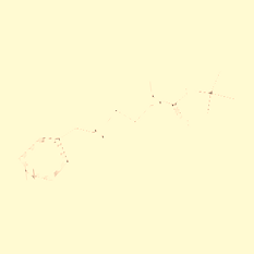 CC(C)(C)OC(=O)NCCNCc1ccncc1